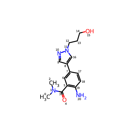 CN(C)C(=O)c1cc(-c2cnn(CCCO)c2)ccc1N